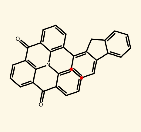 O=c1c2ccccc2n2c3c(-c4cccc5c4Cc4ccccc4-5)cccc3c(=O)c3cccc1c32